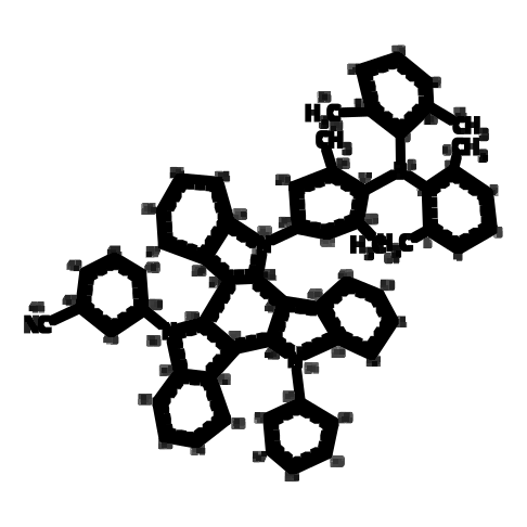 Cc1cccc(C)c1B(c1c(C)cccc1C)c1c(C)cc(-n2c3ccccc3c3c4c(c5ccccc5n4-c4cccc(C#N)c4)c4c(c5ccccc5n4-c4ccccc4)c32)cc1C